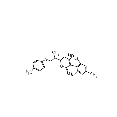 CCc1cc(C)cc(CC)c1C1=C(O)CC(C(C)CSc2ccc(C(F)(F)F)cc2)OC1=O